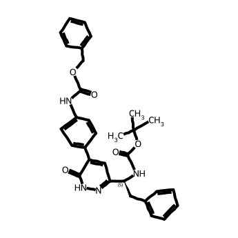 CC(C)(C)OC(=O)N[C@@H](Cc1ccccc1)c1cc(-c2ccc(NC(=O)OCc3ccccc3)cc2)c(=O)[nH]n1